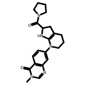 Cn1cnc2cc(N3CCCC4=C3NC(C(=O)N3CCCC3)C4)ccc2c1=O